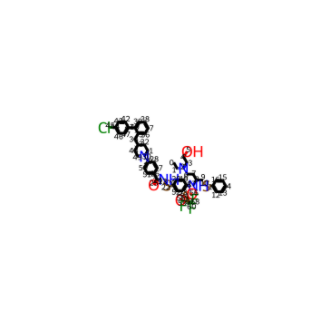 CCN(CCO)CCC(CSc1ccccc1)Nc1ccc(SNC(=O)c2ccc(N3CCC(Cc4ccccc4-c4ccc(Cl)cc4)CC3)cc2)cc1S(=O)(=O)C(F)(F)F